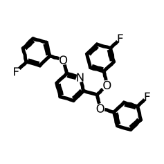 Fc1cccc(Oc2cccc(C(Oc3cccc(F)c3)Oc3cccc(F)c3)n2)c1